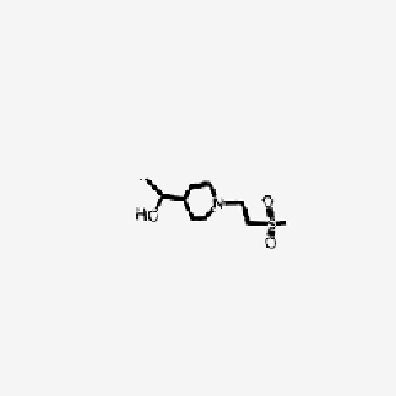 [CH2]C(O)C1CCN(CCS(C)(=O)=O)CC1